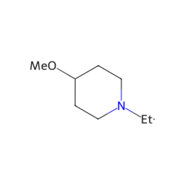 C[CH]N1CCC(OC)CC1